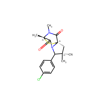 CN1C(=O)[C@@]23C[C@](C)(C#N)C(c4ccc(Cl)cc4)N2C(=O)[C@]1(C)SS3